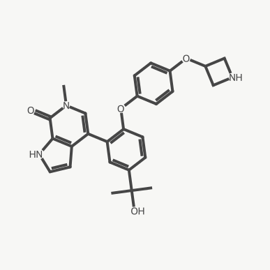 Cn1cc(-c2cc(C(C)(C)O)ccc2Oc2ccc(OC3CNC3)cc2)c2cc[nH]c2c1=O